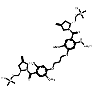 C=C1C[C@H](CO[Si](C)(C)C(C)(C)C)N(C(=O)c2cc(OC)c(OCCCOc3cc(NC(=O)O)c(C(=O)N4CC(=C)C[C@@H]4CO[Si](C)(C)C(C)(C)C)cc3OC)cc2N)C1